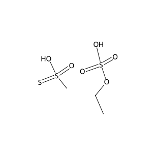 CCOS(=O)(=O)O.CS(=O)(O)=S